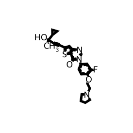 CC(O)(C#Cc1cc2ncn(-c3ccc(OCCN4CCCC4)c(F)c3)c(=O)c2s1)C1CC1